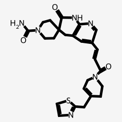 NC(=O)N1CCC2(CC1)Cc1cc(C=CC(=O)N3CC=C(Cc4nccs4)CC3)cnc1NC2=O